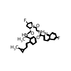 CC1CC1/C=C/c1ccccc1[C@H](C)NC(=O)[C@@H]1C[C@@H](F)CN1C(=O)CNC(=O)c1ccc2cc(F)ccc2n1